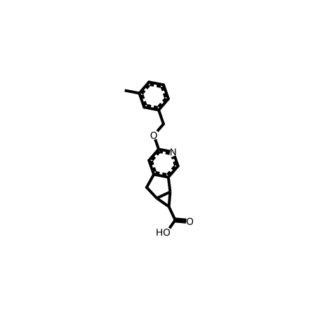 Cc1cccc(COc2cc3c(cn2)C2C(C3)C2C(=O)O)c1